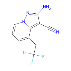 N#Cc1c(N)nn2cccc(CC(F)(F)F)c12